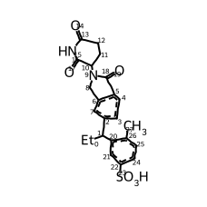 CCC(c1ccc2c(c1)CN(C1CCC(=O)NC1=O)C2=O)c1cc(S(=O)(=O)O)ccc1C